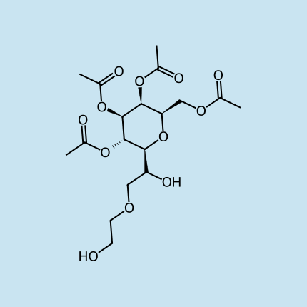 CC(=O)OC[C@H]1O[C@@H](C(O)COCCO)[C@H](OC(C)=O)[C@@H](OC(C)=O)[C@H]1OC(C)=O